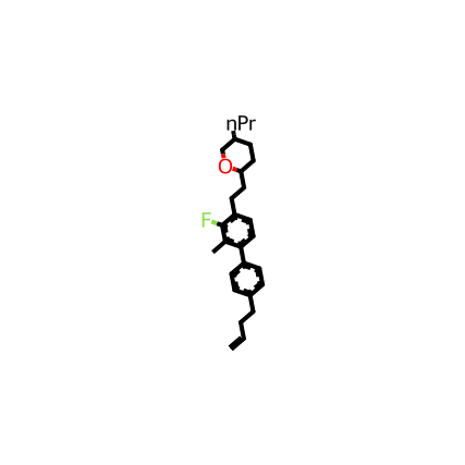 C=CCCc1ccc(-c2ccc(CCC3CCC(CCC)CO3)c(F)c2C)cc1